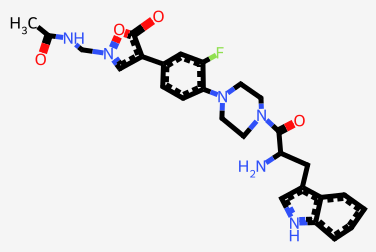 CC(=O)NCn1cc(-c2ccc(N3CCN(C(=O)C(N)Cc4c[nH]c5ccccc45)CC3)c(F)c2)c(=O)o1